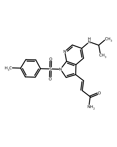 Cc1ccc(S(=O)(=O)n2cc(C=CC(N)=O)c3cc(NC(C)C)cnc32)cc1